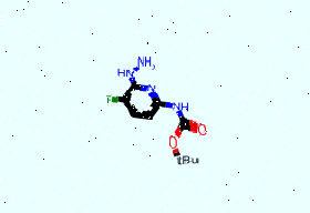 CC(C)(C)OC(=O)Nc1ccc(F)c(NN)n1